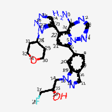 Nc1ncnn2c(-c3ccc4cnn(CC(O)CF)c4c3)cc(-c3cnnn3C3CCOCC3)c12